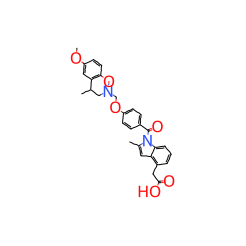 COc1ccc2c(c1)C(C)CN(COc1ccc(C(=O)n3c(C)cc4c(CC(=O)O)cccc43)cc1)O2